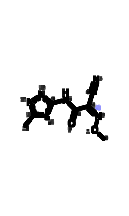 CO/N=C(/C#N)C(=O)Nc1nnc(C)s1